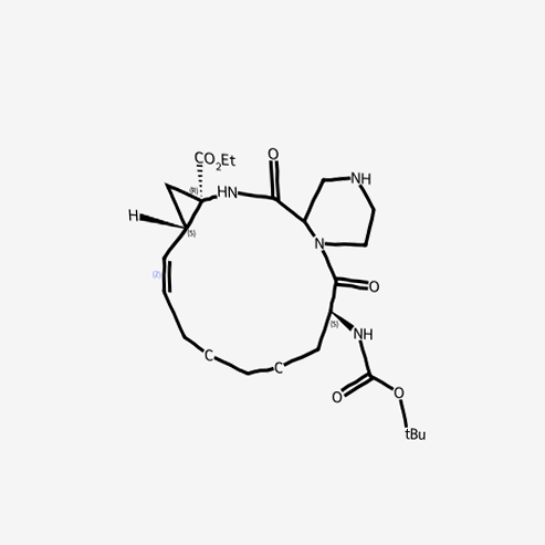 CCOC(=O)[C@@]12C[C@H]1/C=C\CCCCC[C@H](NC(=O)OC(C)(C)C)C(=O)N1CCNCC1C(=O)N2